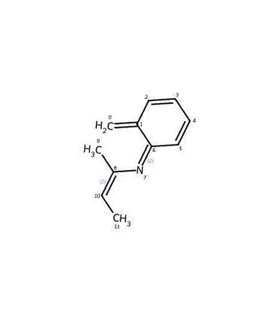 C=C1C=CC=C/C1=N/C(C)=C\C